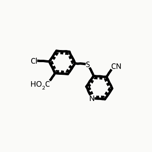 N#Cc1ccncc1Sc1ccc(Cl)c(C(=O)O)c1